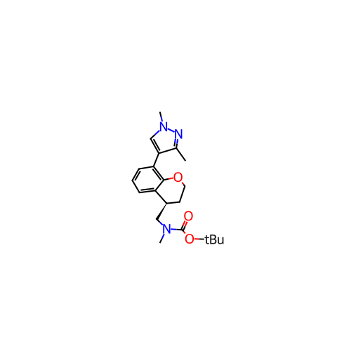 Cc1nn(C)cc1-c1cccc2c1OCC[C@H]2CN(C)C(=O)OC(C)(C)C